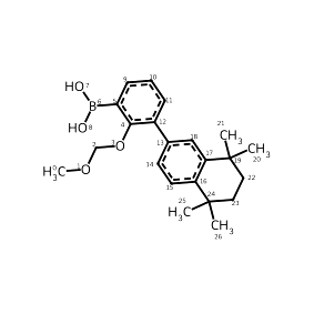 COCOc1c(B(O)O)cccc1-c1ccc2c(c1)C(C)(C)CCC2(C)C